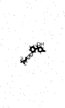 C=C1CCC(CO)(c2cccc(OCOCC[Si](C)(C)C)c2)CC1